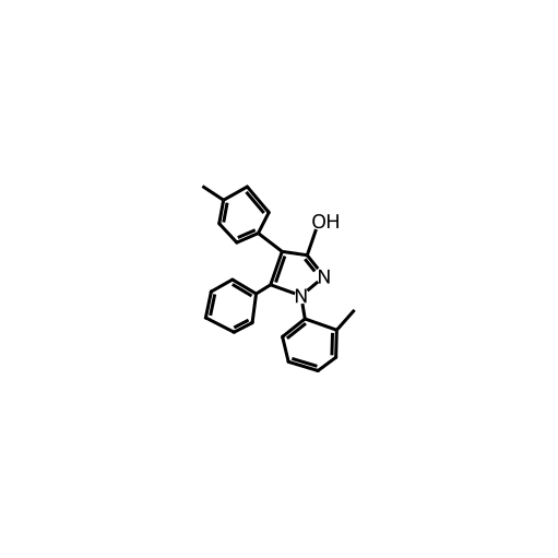 Cc1ccc(-c2c(O)nn(-c3ccccc3C)c2-c2ccccc2)cc1